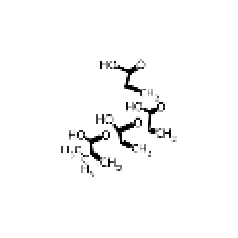 C=CC(=O)O.C=CC(=O)O.C=CC(=O)O.C=CC(=O)O.CC